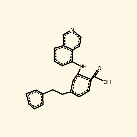 O=C(O)c1ccc(CCc2ccccc2)cc1Nc1cccc2cnccc12